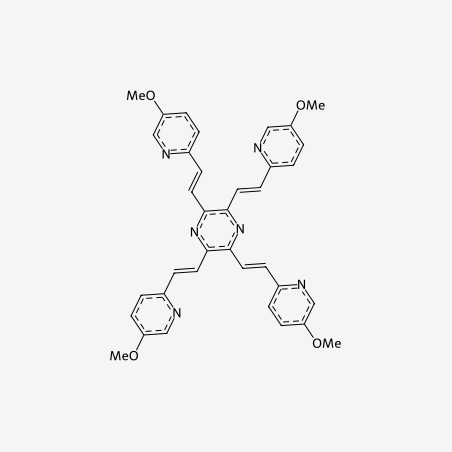 COc1ccc(C=Cc2nc(C=Cc3ccc(OC)cn3)c(C=Cc3ccc(OC)cn3)nc2C=Cc2ccc(OC)cn2)nc1